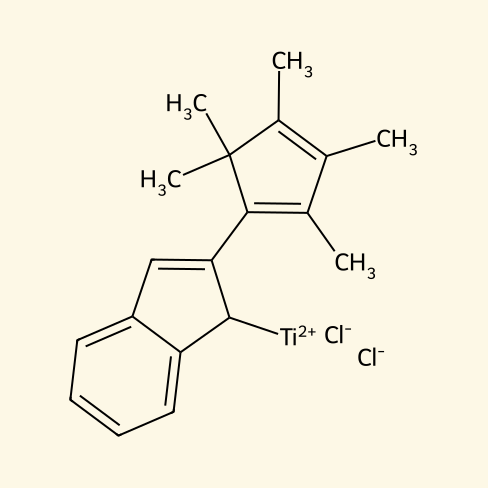 CC1=C(C)C(C)(C)C(C2=Cc3ccccc3[CH]2[Ti+2])=C1C.[Cl-].[Cl-]